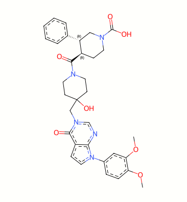 COc1ccc(-n2ccc3c(=O)n(CC4(O)CCN(C(=O)[C@@H]5CCN(C(=O)O)C[C@H]5c5ccccc5)CC4)cnc32)cc1OC